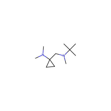 CN(CC1(N(C)C)CC1)C(C)(C)C